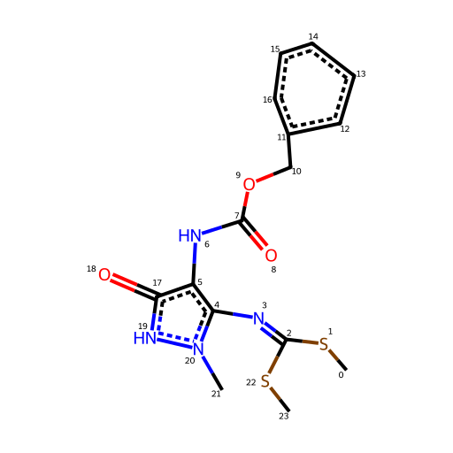 CSC(=Nc1c(NC(=O)OCc2ccccc2)c(=O)[nH]n1C)SC